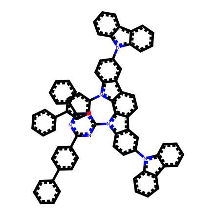 c1ccc(-c2ccc(-c3nc(-c4ccccc4)nc(-n4c5ccc(-n6c7ccccc7c7ccccc76)cc5c5ccc6c7cc(-n8c9ccccc9c9ccccc98)ccc7n(-c7ccc(-c8ccccc8)cc7)c6c54)n3)cc2)cc1